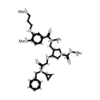 COCCCOc1cc(C(=O)N(CC2CN(C(=O)OC(C)(C)C)CC2OCC(=O)N(Cc2ccccc2)C2CC2)C(C)C)ccc1OC